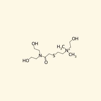 C[N+](C)(CCO)CCSCC(=O)N(CCO)CCO